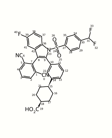 N#Cc1cccc(C#N)c1-c1c(-c2cccc([C@H]3CC[C@@H](C(=O)O)CC3)c2)n(S(=O)(=O)c2ccc(C(F)F)cc2)c2ccc(F)cc12